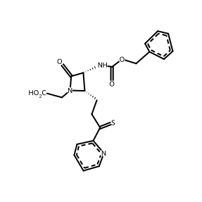 O=C(O)CN1C(=O)[C@H](NC(=O)OCc2ccccc2)[C@@H]1CCC(=S)c1ccccn1